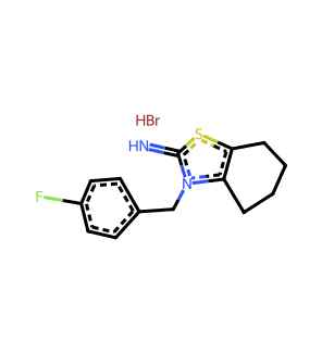 Br.N=c1sc2c(n1Cc1ccc(F)cc1)CCCC2